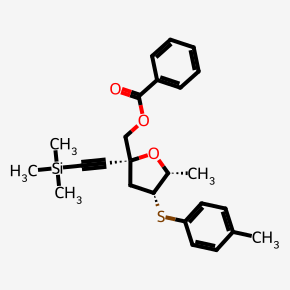 Cc1ccc(S[C@@H]2C[C@@](C#C[Si](C)(C)C)(COC(=O)c3ccccc3)O[C@@H]2C)cc1